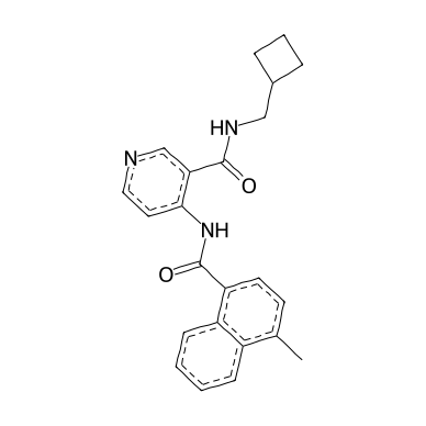 Cc1ccc(C(=O)Nc2ccncc2C(=O)NCC2CCC2)c2ccccc12